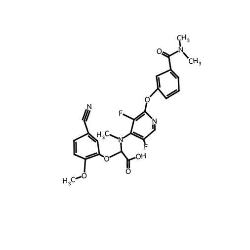 COc1ccc(C#N)cc1OC(C(=O)O)N(C)c1c(F)cnc(Oc2cccc(C(=O)N(C)C)c2)c1F